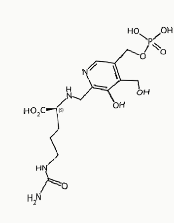 NC(=O)NCCC[C@H](NCc1ncc(COP(=O)(O)O)c(CO)c1O)C(=O)O